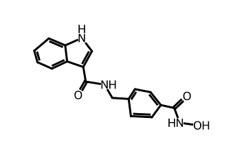 O=C(NO)c1ccc(CNC(=O)c2c[nH]c3ccccc23)cc1